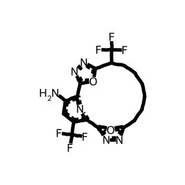 Nc1cc(C(F)(F)F)c2nc1-c1nnc(o1)C(C(F)(F)F)CCCCCCc1nnc-2o1